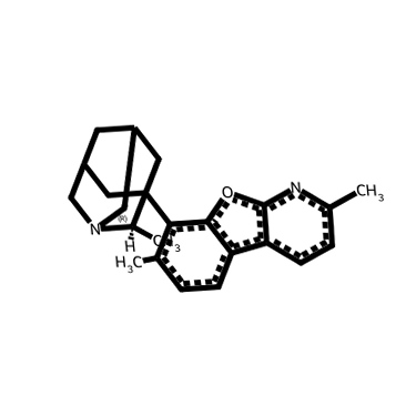 Cc1ccc2c(n1)oc1c(C34CC5CC(CN(C5)[C@@H]3C)C4)c(C)ccc12